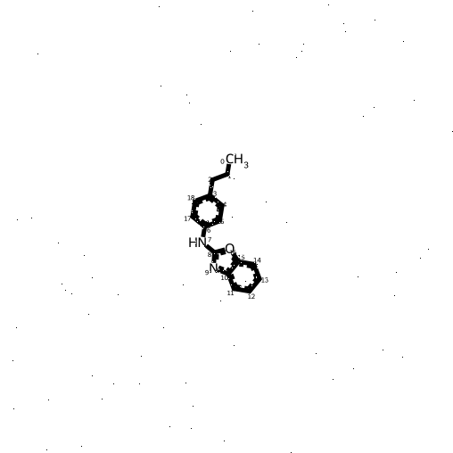 CCCc1ccc(Nc2nc3ccccc3o2)cc1